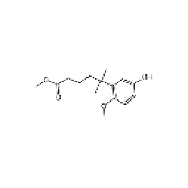 COC(=O)CCCC(C)(C)c1cc(O)ccc1OC